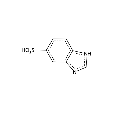 O=S(=O)(O)c1ccc2[nH]cnc2c1